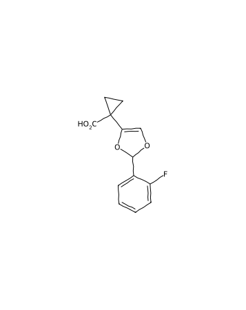 O=C(O)C1(C2=COC(c3ccccc3F)O2)CC1